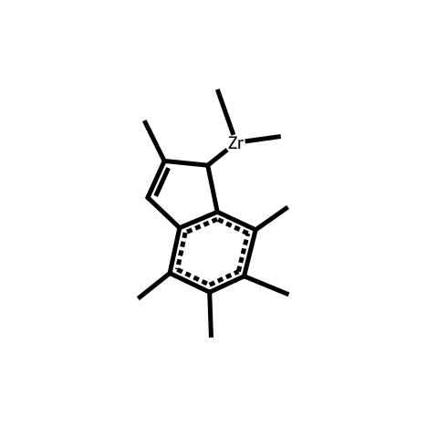 CC1=Cc2c(C)c(C)c(C)c(C)c2[CH]1[Zr]([CH3])[CH3]